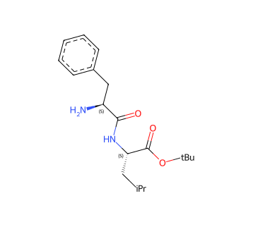 CC(C)C[C@H](NC(=O)[C@@H](N)Cc1ccccc1)C(=O)OC(C)(C)C